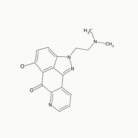 CN(C)CCn1nc2c3c(c(Cl)ccc31)C(=O)c1ncccc1-2